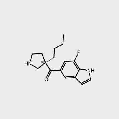 CCCC[C@@]1(C(=O)c2cc(F)c3[nH]ccc3c2)CCNC1